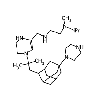 CC(C)N(C)CCNCC1=CN(C(C)(C)CC2C3CC4CC2CC(N2CCNCC2)(C4)C3)CCN1